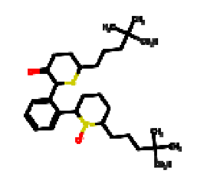 CC(C)(CCCC1CCC(=O)C(c2ccccc2C2CCCC(CCCC(C)(C)C(=O)O)[S+]2[O-])S1)C(=O)O